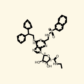 CCNC(=O)[C@H]1O[C@@H](n2cnc3c(NCC(c4ccccc4)c4ccccc4)nc(CNS(=O)(=O)c4ccc5ccccc5c4)nc32)[C@H](O)[C@@H]1O